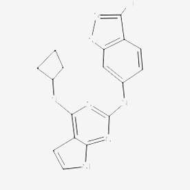 Cc1n[nH]c2cc(Nc3nc(NC4CCC4)c4cc[nH]c4n3)ccc12